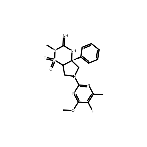 COc1nc(N2CC3[C@@](c4ccccc4)(C2)NC(=N)N(C)S3(=O)=O)nc(C)c1F